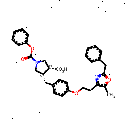 Cc1oc(Cc2ccccc2)nc1CCOc1ccc(C[C@@H]2CN(C(=O)Oc3ccccc3)C[C@@H]2C(=O)O)cc1